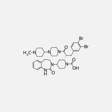 CN1CCC(N2CCN(C(=O)C(Cc3ccc(Br)c(Br)c3)[C@H]3CC(N4CCc5ccccc5NC4=O)CCN3C(=O)O)CC2)CC1